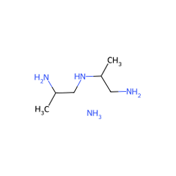 CC(N)CNC(C)CN.N